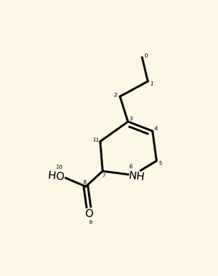 CCCC1=CCNC(C(=O)O)C1